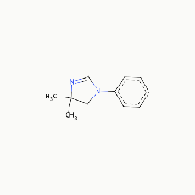 CC1(C)CN(c2ccccc2)[C]=N1